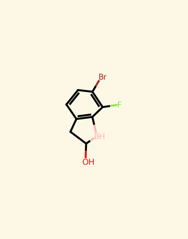 OC1Bc2c(ccc(Br)c2F)C1